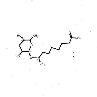 CC1O[C@@H](O[C@H](C)CCCCCCC(=O)O)C(O)C[C@H]1O